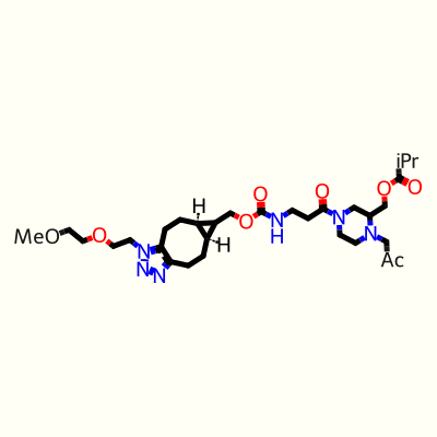 COCCOCCn1nnc2c1CC[C@H]1C(COC(=O)NCCC(=O)N3CCN(CC(C)=O)C(COC(=O)C(C)C)C3)[C@H]1CC2